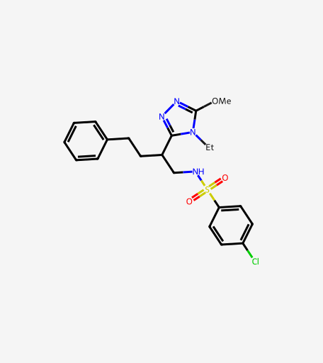 CCn1c(OC)nnc1C(CCc1ccccc1)CNS(=O)(=O)c1ccc(Cl)cc1